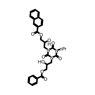 CCCn1c(=O)n(CC(O)COC(=O)c2ccccc2)c(=O)n(CC(O)COC(=O)c2ccc3ccccc3c2)c1=O